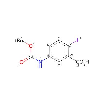 CC(C)(C)OC(=O)Nc1ccc(I)c(C(=O)O)c1